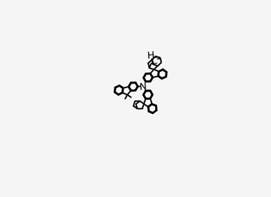 CC1(C)c2ccccc2-c2ccc(N(c3ccc4c(c3)-c3ccccc3C43C4CCC5CC3C[C@@H](C5)C4)c3ccc4c(c3)C3(CC5CCC3C5)c3ccccc3-4)cc21